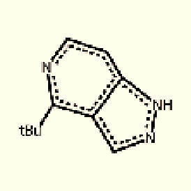 CC(C)(C)c1nccc2[nH]ncc12